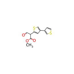 COC(=O)C(C=O)c1cc(-c2ccsc2)cs1